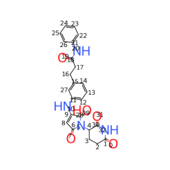 O=C1CCC(N2C(=O)C=C(Nc3cccc(CCC(=O)Nc4ccccc4)c3)C2O)C(=O)N1